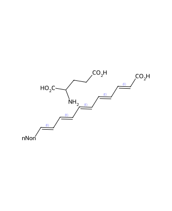 CCCCCCCCC/C=C/C=C/C=C/C=C/C=C/C(=O)O.NC(CCC(=O)O)C(=O)O